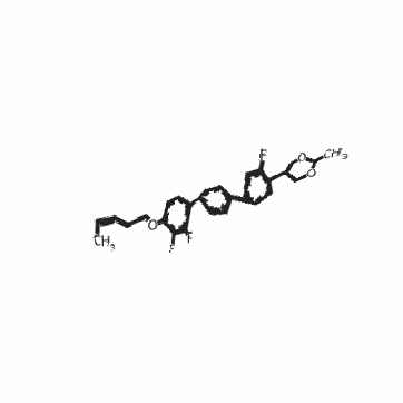 C/C=C\CCOc1ccc(-c2ccc(-c3ccc(C4COC(C)OC4)c(F)c3)cc2)c(F)c1F